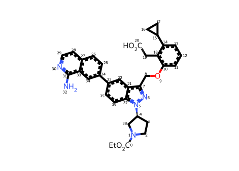 CCOC(=O)N1CC[C@H](n2nc(COc3cccc(C4CC4)c3CC(=O)O)c3cc(-c4ccc5ccnc(N)c5c4)ccc32)C1